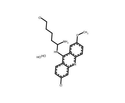 COc1ccc2nc3cc(Cl)ccc3c(NC(N)CCCCCl)c2c1.Cl.Cl